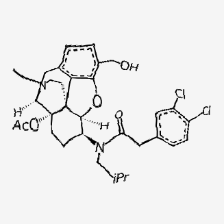 CC(=O)O[C@@]12CC[C@H](N(CC(C)C)C(=O)Cc3ccc(Cl)c(Cl)c3)[C@@H]3Oc4c(O)ccc5c4[C@@]31CCN(C)[C@@H]2C5